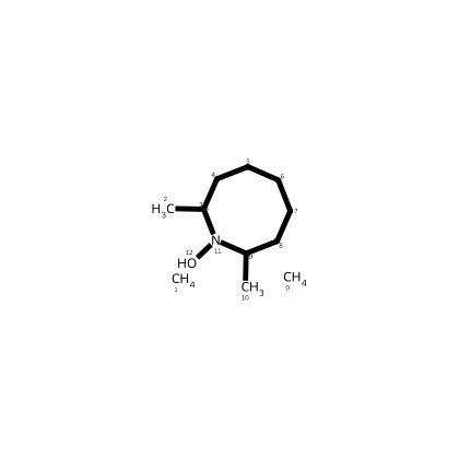 C.C.C[C]1CCCCCC(C)N1O